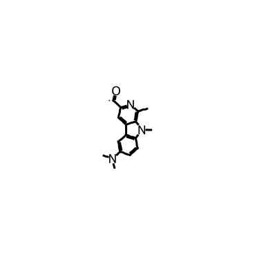 Cc1nc([C]=O)cc2c3cc(N(C)C)ccc3n(C)c12